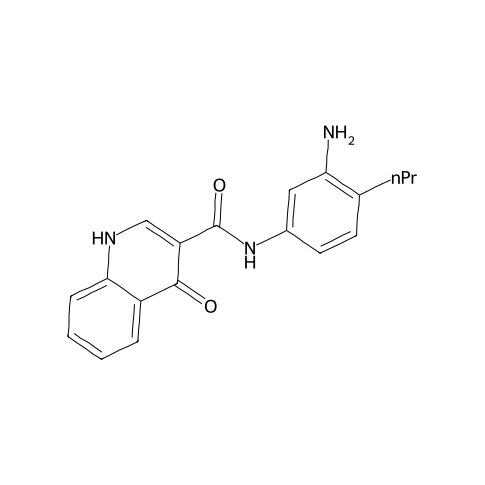 CCCc1ccc(NC(=O)c2c[nH]c3ccccc3c2=O)cc1N